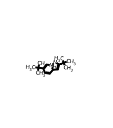 CC(C)(C)C1=CN2NC(C(C)(C)C)=CC2C=C1